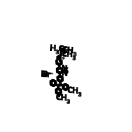 Cc1ccc(/C(=C(\c2ccc(C)cc2)c2ccc(-c3ccc(-c4cc[n+](CCC[N+](C)(C)C)cc4)c4nsnc34)cc2)c2ccccc2)cc1.[Br-].[Br-]